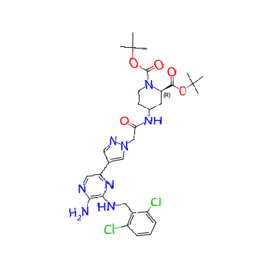 CC(C)(C)OC(=O)[C@H]1CC(NC(=O)Cn2cc(-c3cnc(N)c(NCc4c(Cl)cccc4Cl)n3)cn2)CCN1C(=O)OC(C)(C)C